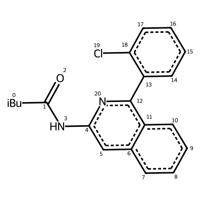 CCC(C)C(=O)Nc1cc2ccccc2c(-c2ccccc2Cl)n1